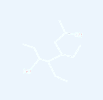 CCC(O)C(CC)C(CC)CC(C)O